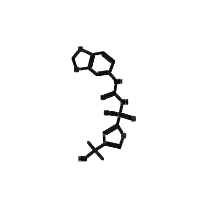 CC(C)(O)c1coc(S(=O)(=O)NC(=O)Nc2ccc3c(c2)OCO3)c1